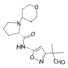 CC(C)(C=O)c1cc(NC(=O)[C@@H]2CCCN2C2CCOCC2)on1